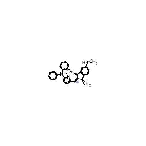 C=C=C1/C(=C\c2ccc(N(c3ccccc3)c3ccccc3)[nH]2)C(=C)c2ccc(BC)cc21